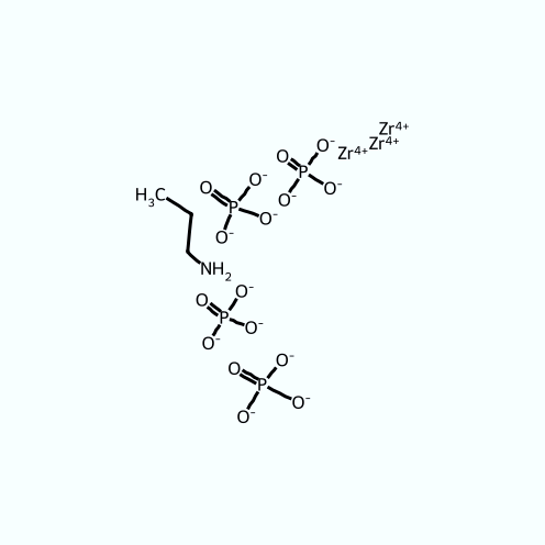 CCCN.O=P([O-])([O-])[O-].O=P([O-])([O-])[O-].O=P([O-])([O-])[O-].O=P([O-])([O-])[O-].[Zr+4].[Zr+4].[Zr+4]